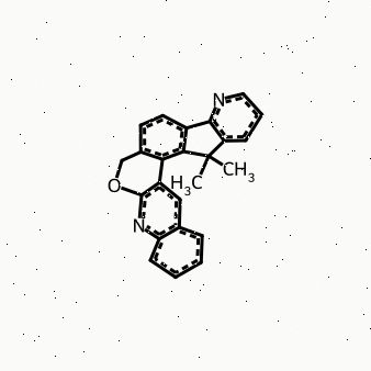 CC1(C)c2cccnc2-c2ccc3c(c21)-c1cc2ccccc2nc1OC3